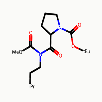 COC(=O)N(CCC(C)C)C(=O)C1CCCN1C(=O)OC(C)(C)C